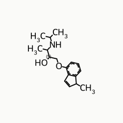 CC(C)NC(C)[C@H](O)COc1cccc2c1C=CC2C